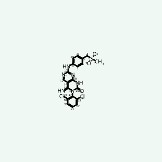 CS(=O)(=O)Cc1ccc(Nc2ncc3c(=N)n(-c4c(Cl)cccc4Cl)c(=O)[nH]c3n2)cc1